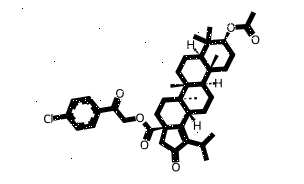 CC(=O)O[C@H]1CC[C@]2(C)[C@H]3CC[C@@H]4C5=C(C(C)C)C(=O)C[C@]5(C(=O)OCC(=O)c5ccc(Cl)cc5)CC[C@@]4(C)[C@]3(C)CC[C@H]2C1(C)C